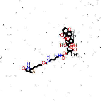 CC1=C(COC(=O)NCCCCCNCOCCCCC2SCC3CC(=O)NC32)C[C@H]([C@](C)(O)[C@]2(O)CC[C@@]3(O)[C@@H]4C[C@H]5O[C@]56CC=CC(=O)[C@]6(C)[C@H]4CC[C@]23C)OC1=O